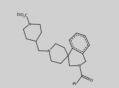 CCOC(=O)N1CCC(CN2CCC3(CC2)CN(C(=O)C(C)C)Cc2ccccc23)CC1